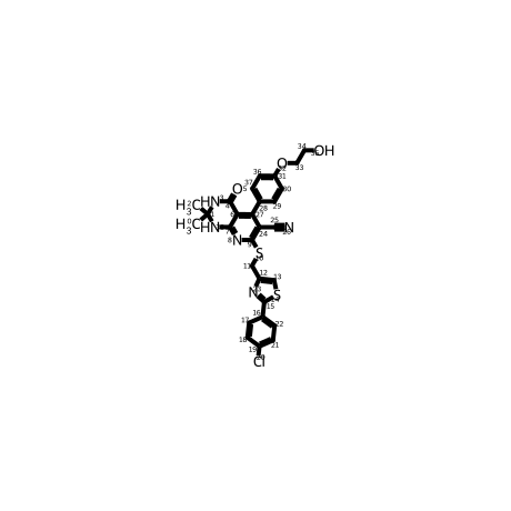 CC1(C)NC(=O)c2c(nc(SCc3csc(-c4ccc(Cl)cc4)n3)c(C#N)c2-c2ccc(OCCO)cc2)N1